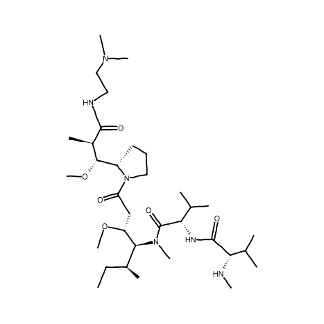 CC[C@H](C)[C@@H]([C@@H](CC(=O)N1CCC[C@H]1[C@H](OC)[C@@H](C)C(=O)NCCN(C)C)OC)N(C)C(=O)[C@@H](NC(=O)[C@@H](NC)C(C)C)C(C)C